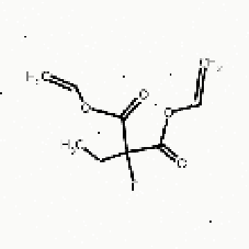 C=COC(=O)C(F)(CC)C(=O)OC=C